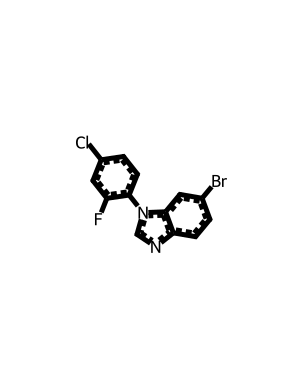 Fc1cc(Cl)ccc1-n1cnc2ccc(Br)cc21